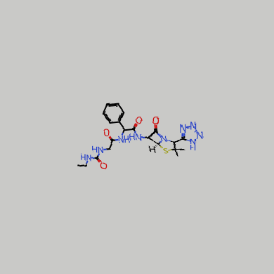 CCNC(=O)NCC(=O)NC(C(=O)NC1C(=O)N2C(c3nnn[nH]3)C(C)(C)S[C@@H]12)c1ccccc1